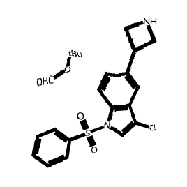 CC(C)(C)OC=O.O=S(=O)(c1ccccc1)n1cc(Cl)c2cc(C3CNC3)ccc21